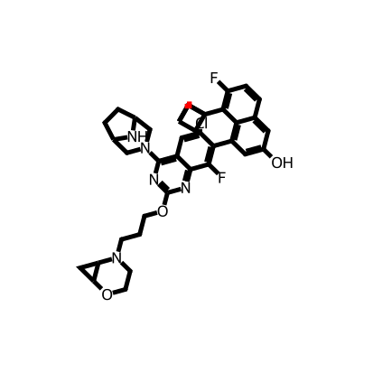 Oc1cc(-c2c(Cl)cc3c(N4CC5CCC(C4)N5)nc(OCCCN4CCOC5CC54)nc3c2F)c2c(C34CC(C3)C4)c(F)ccc2c1